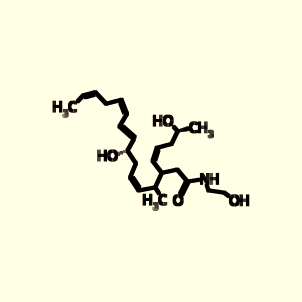 C/C=C\C/C=C\C=C\[C@@H](O)C/C=C\C(C)C(/C=C\C[C@H](C)O)CC(=O)NCCO